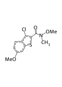 COc1ccc2c(Cl)c(C(=O)N(C)OC)sc2c1